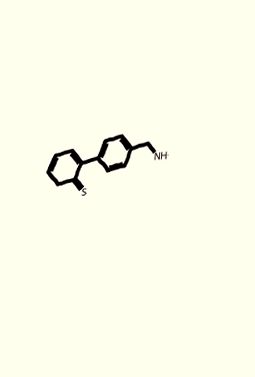 [NH]Cc1ccc(C2=CC=CCC2=S)cc1